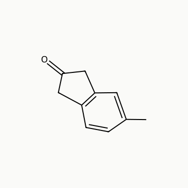 Cc1ccc2c(c1)CC(=O)C2